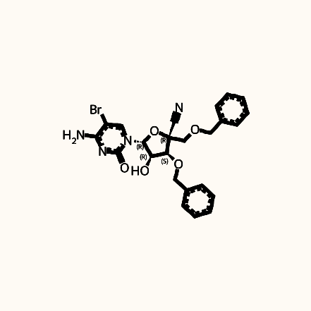 N#C[C@]1(COCc2ccccc2)O[C@@H](n2cc(Br)c(N)nc2=O)[C@H](O)[C@@H]1OCc1ccccc1